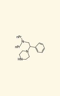 CCCN(CCC)CC(c1ccccc1)N1CCNCC1